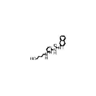 O=C(Nc1ccc2ccccc2c1)Nc1nccc(NCCCCO)n1